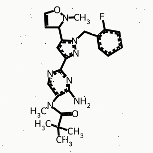 CN(C(=O)C(C)(C)C)c1cnc(-c2cc(C3C=CON3C)n(Cc3ccccc3F)n2)nc1N